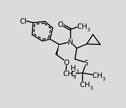 COC[C@@H](c1ccc(Cl)cc1)N(C(C)=O)C(CSC(C)(C)C)C1CC1